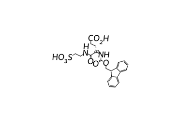 O=C(O)CC[C@H](NC(=O)OCC1c2ccccc2-c2ccccc21)C(=O)NCCS(=O)(=O)O